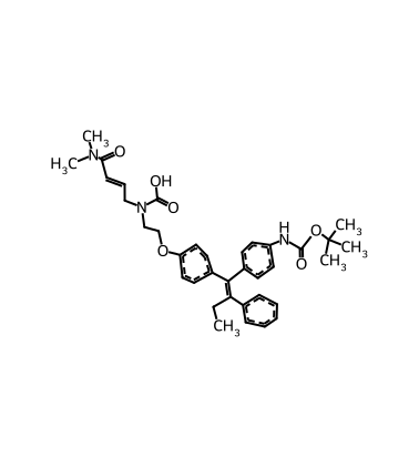 CCC(=C(c1ccc(NC(=O)OC(C)(C)C)cc1)c1ccc(OCCN(CC=CC(=O)N(C)C)C(=O)O)cc1)c1ccccc1